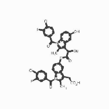 CCC(C)C(C(=O)Oc1ccc2c(c1)c(CC(=O)O)c(C)n2C(=O)c1ccc(Cl)c(F)c1)c1c(C)n(C(=O)c2ccc(Cl)c(F)c2)c2ccc(O)cc12